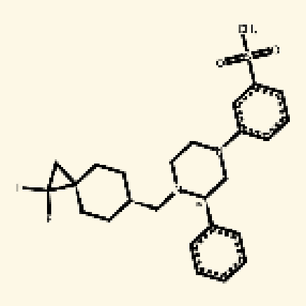 CS(=O)(=O)c1cccc(N2CCN(C[C@H]3CC[C@]4(CC3)CC4(F)F)[C@H](c3ccccc3)C2)c1